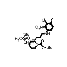 CC(C)(C)OC(=O)N1CCC[C@H](O[Si](C)(C)C(C)(C)C)[C@H]1CCCNc1ccc(Cl)c(Cl)c1[N+](=O)[O-]